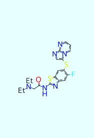 CCN(CC)CC(=O)Nc1nc2cc(F)c(Sc3cnc4ncccn34)cc2s1